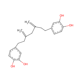 C=C(CCc1ccc(O)c(O)c1)CC(=C)CCc1ccc(O)c(O)c1